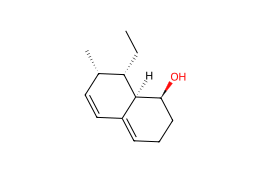 CC[C@@H]1[C@@H]2C(=CCC[C@@H]2O)C=C[C@@H]1C